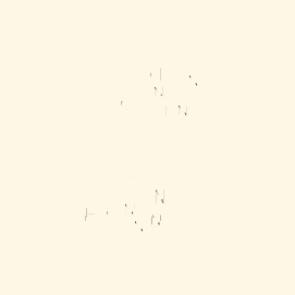 CN(C(=O)CCCSc1nnnn1C)c1ncc[nH]1